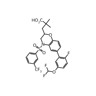 CC(C)(CC1CN(S(=O)(=O)c2cccc(C(F)(F)F)c2)c2cc(-c3cc(OC(F)F)ccc3F)ccc2O1)C(=O)O